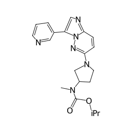 CC(C)OC(=O)N(C)C1CCN(c2ccc3ncc(-c4cccnc4)n3n2)C1